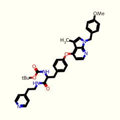 COc1ccc(Cn2cc(C)c3c(Oc4ccc(CC(NC(=O)OC(C)(C)C)C(=O)NCCc5ccncc5)cc4)ccnc32)cc1